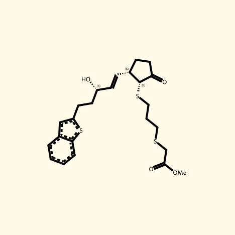 COC(=O)CSCCCS[C@H]1C(=O)CC[C@H]1C=C[C@@H](O)CCc1cc2ccccc2s1